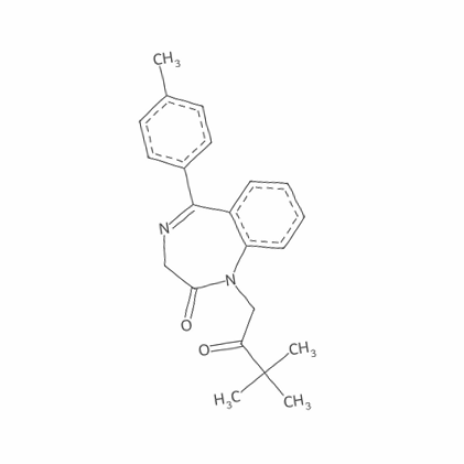 Cc1ccc(C2=NCC(=O)N(CC(=O)C(C)(C)C)c3ccccc32)cc1